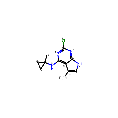 CC1(Nc2nc(Cl)nc3[nH]cc(C(F)(F)F)c23)CC1